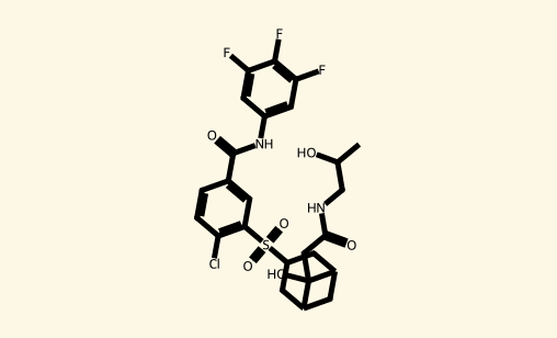 CC(O)CNC(=O)CC1(O)C2CC1CC(S(=O)(=O)c1cc(C(=O)Nc3cc(F)c(F)c(F)c3)ccc1Cl)C2